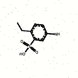 CCc1ccc([NH])cc1S(=O)(=O)O